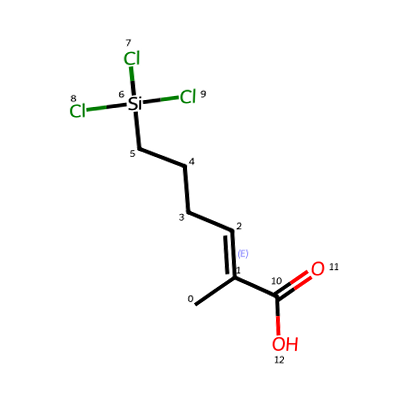 C/C(=C\CCC[Si](Cl)(Cl)Cl)C(=O)O